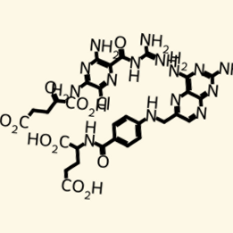 N=C(N)NC(=O)c1nc(Cl)c(N)nc1N.Nc1nc(N)c2nc(CNc3ccc(C(=O)NC(CCC(=O)O)C(=O)O)cc3)cnc2n1.O=C(O)CCC(=O)C(=O)O